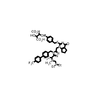 CCN(CC)CN(C)C(C)c1nnc(Cn2c(SCc3ccc(F)cc3)nc(=O)c3c2CCC3)n1Cc1ccc(-c2ccc(C(F)(F)F)cc2)cc1.O=C(O)C(O)C(O)C(=O)O